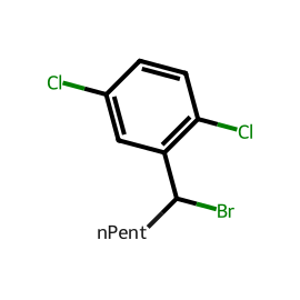 CCCCCC(Br)c1cc(Cl)ccc1Cl